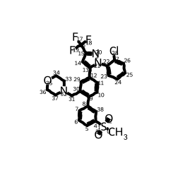 CS(=O)(=O)c1cccc(-c2ccc(-c3cc(C(F)(F)F)nn3-c3ccccc3Cl)cc2CN2CCOCC2)c1